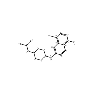 FC(F)OC1CCC(Nc2ncc3c(Cl)ncc(I)c3n2)CC1